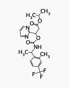 Cc1cc(C(F)(F)F)ccc1C(C)NC(=O)OC(CC(=O)OC(C)C)c1ncccn1